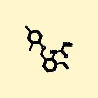 C=Cc1cccc(COc2ccc(C)cc2C)c1NC(=O)SC